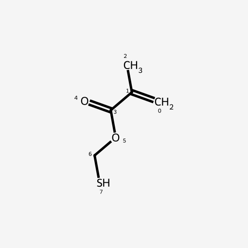 C=C(C)C(=O)OCS